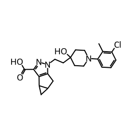 Cc1c(Cl)cccc1N1CCC(O)(CCn2nc(C(=O)O)c3c2CC2CC32)CC1